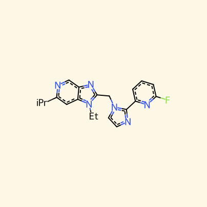 CCn1c(Cn2ccnc2-c2cccc(F)n2)nc2cnc(C(C)C)cc21